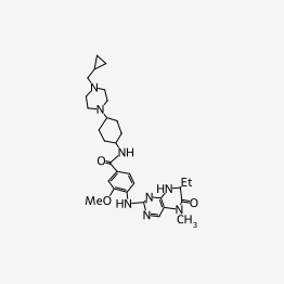 CC[C@H]1Nc2nc(Nc3ccc(C(=O)NC4CCC(N5CCN(CC6CC6)CC5)CC4)cc3OC)ncc2N(C)C1=O